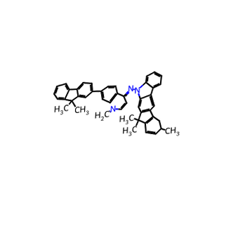 C=N/C=C\C(=Nn1c2ccccc2c2cc3c(cc21)C(C)(C)C1=C3CC(C)C=C1)c1ccc(-c2ccc3c(c2)C(C)(C)c2ccccc2-3)cc1